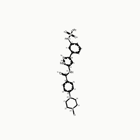 CCCS(=O)(=O)Nc1cccc(-c2cc(NC(=O)c3ccc(N4CCN(C)CC4)cc3)[nH]n2)c1